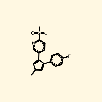 CC1C=C(c2ccc(F)cc2)C(c2ccc(S(C)(=O)=O)nc2)=C1